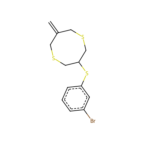 C=C1CSCC(Sc2cccc(Br)c2)CSC1